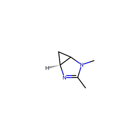 CC1=N[C@H]2CC2N1C